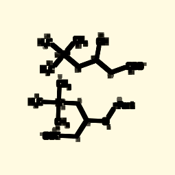 CCCCCOC(CC(=O)[O-])C[N+](C)(C)C.C[N+](C)(C)CC(O)CC(=O)[O-]